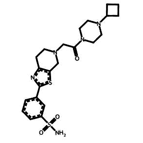 NS(=O)(=O)c1cccc(-c2nc3c(s2)CN(CC(=O)N2CCN(C4CCC4)CC2)CC3)c1